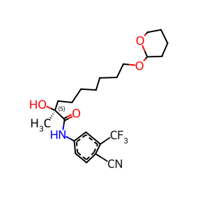 C[C@](O)(CCCCCCCOC1CCCCO1)C(=O)Nc1ccc(C#N)c(C(F)(F)F)c1